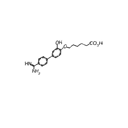 N=C(N)c1ccc(-c2ccc(OCCCCCC(=O)O)c(O)c2)cc1